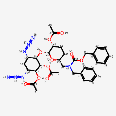 CC(=O)O[C@@H]1[C@@H](OC(C)=O)[C@H](N=[N+]=[N-])C[C@H](N=[N+]=[N-])[C@H]1O[C@H]1O[C@H](CN(Cc2ccccc2)C(=O)OCc2ccccc2)CC[C@H]1OC(C)=O